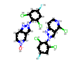 Fc1cc(Cl)c(-n2cc3c(Cl)nccc3n2)c(Cl)c1.[O-][n+]1ccc2nn(-c3c(Cl)cc(F)cc3Cl)cc2c1